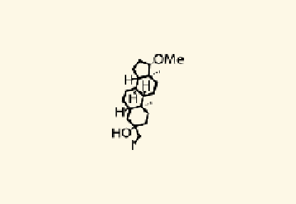 CO[C@H]1CC[C@H]2[C@@H]3CC[C@H]4C[C@@](O)(CI)CC[C@]4(C)[C@H]3CC[C@]12C